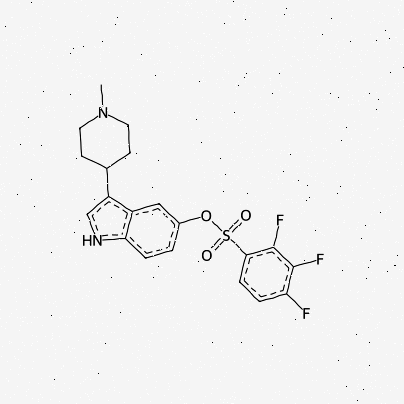 CN1CCC(c2c[nH]c3ccc(OS(=O)(=O)c4ccc(F)c(F)c4F)cc23)CC1